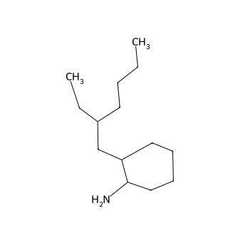 CCCCC(CC)CC1CCCCC1N